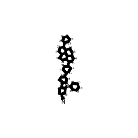 N#Cc1ccc2c3ccc(-c4ccc(-c5ccc6ccc7c(-c8ccccc8)ccc8ccc5c6c87)cc4)cc3n(-c3ccccc3)c2c1